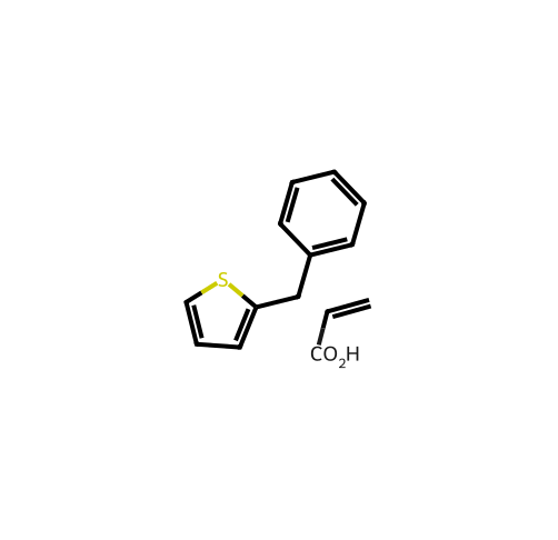 C=CC(=O)O.c1ccc(Cc2cccs2)cc1